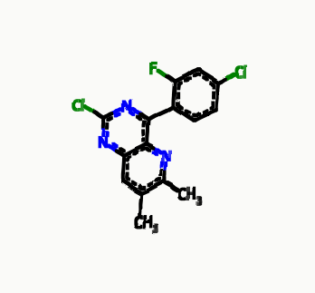 Cc1cc2nc(Cl)nc(-c3ccc(Cl)cc3F)c2nc1C